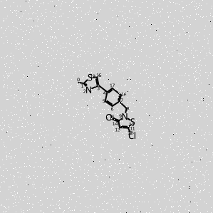 Cc1nc(-c2ccc(Cn3sc(Cl)cc3=O)cc2)cs1